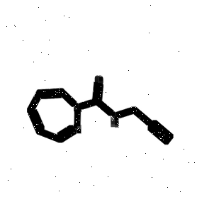 C#CCNC(=O)N1C=CC=CC=N1